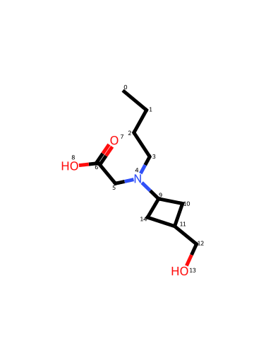 CCCCN(CC(=O)O)C1CC(CO)C1